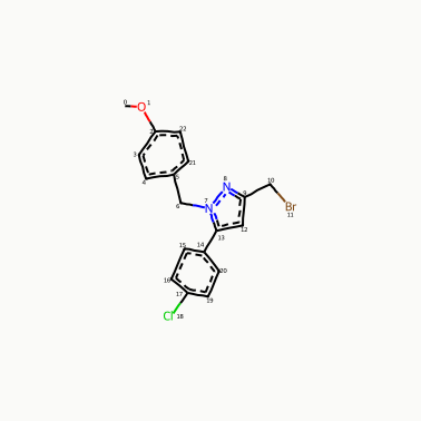 COc1ccc(Cn2nc(CBr)cc2-c2ccc(Cl)cc2)cc1